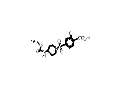 CC(C)(C)OC(=O)NC1CCN(S(=O)(=O)c2ccc(C(=O)O)c(F)c2)CC1